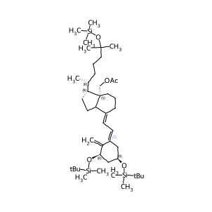 C=C1/C(=C\C=C2CCC[C@@]3(COC(C)=O)C2CC[C@@H]3[C@H](C)CCCC(C)(C)O[Si](C)(C)C)C[C@@H](O[Si](C)(C)C(C)(C)C)C[C@H]1O[Si](C)(C)C(C)(C)C